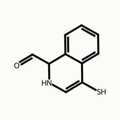 O=CC1NC=C(S)c2ccccc21